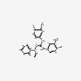 C=CC(OB(Oc1ccc(C)c(Cl)c1)Oc1ccc(C)c(Cl)c1)c1ccccn1